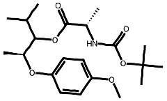 COc1ccc(O[C@@H](C)C(OC(=O)[C@H](C)NC(=O)OC(C)(C)C)C(C)C)cc1